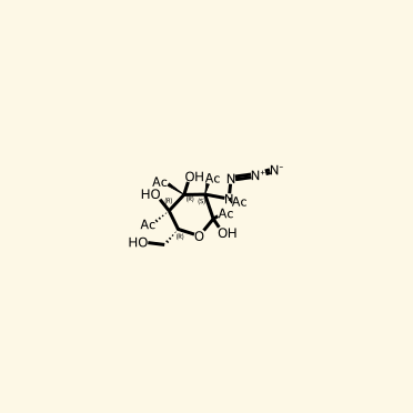 CC(=O)N(N=[N+]=[N-])[C@]1(C(C)=O)C(O)(C(C)=O)O[C@H](CO)[C@](O)(C(C)=O)[C@@]1(O)C(C)=O